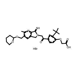 Br.Cc1nc2c(cc1COC1CCCCO1)CN(CC(=O)c1ccc(OCC(=O)O)c(C(C)(C)C)c1)C2=N